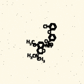 COc1ccc(NS(=O)(=O)c2cccc(Oc3ccccc3Cl)c2)c2c1C[C@@H](N(C)C)CO2